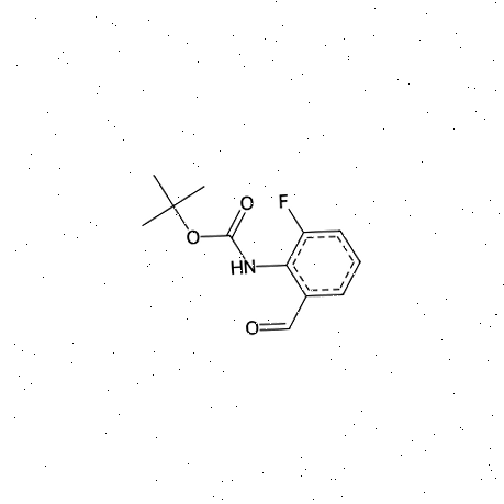 CC(C)(C)OC(=O)Nc1c(F)cccc1C=O